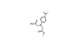 COC(=O)CN(CC(=O)O)c1ccc(N(C)C)cc1